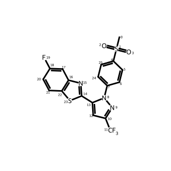 CS(=O)(=O)c1ccc(-n2nc(C(F)(F)F)cc2-c2nc3cc(F)ccc3s2)cc1